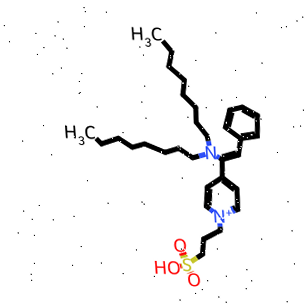 CCCCCCCCN(CCCCCCCC)C(=Cc1ccccc1)c1cc[n+](CCCS(=O)(=O)O)cc1